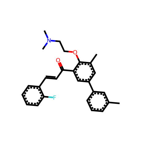 Cc1cccc(-c2cc(C)c(OCCN(C)C)c(C(=O)/C=C/c3ccccc3F)c2)c1